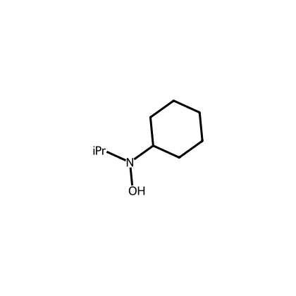 CC(C)N(O)C1CCCCC1